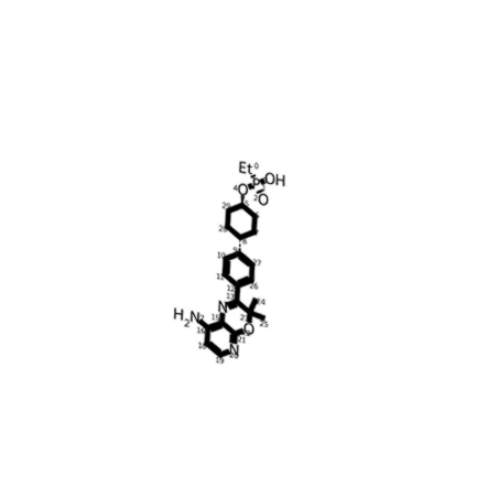 CCP(=O)(O)O[C@H]1CC[C@H](c2ccc(C3=Nc4c(N)ccnc4OC3(C)C)cc2)CC1